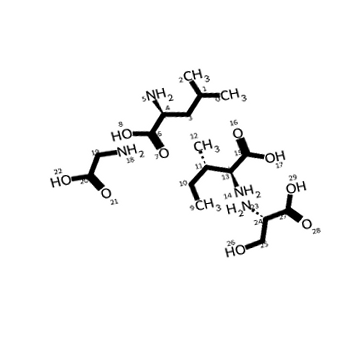 CC(C)C[C@H](N)C(=O)O.CC[C@H](C)[C@H](N)C(=O)O.NCC(=O)O.N[C@@H](CO)C(=O)O